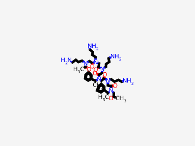 CC(=O)CN(C(=O)CN(CCCCN)C(=O)CN(C(=O)CN(CCCCN)C(=O)CN(CCCCN)C(=O)CN(CCCCN)C(C)=O)[C@@H](C)c1ccccc1)[C@@H](C)c1ccccc1